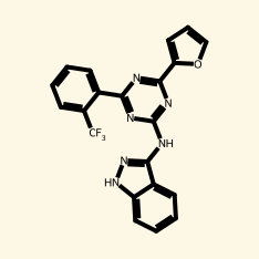 FC(F)(F)c1ccccc1-c1nc(Nc2n[nH]c3ccccc23)nc(-c2ccco2)n1